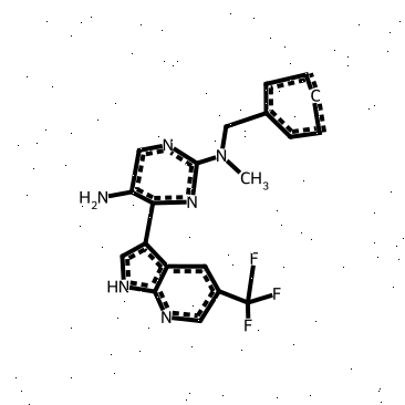 CN(Cc1ccccc1)c1ncc(N)c(-c2c[nH]c3ncc(C(F)(F)F)cc23)n1